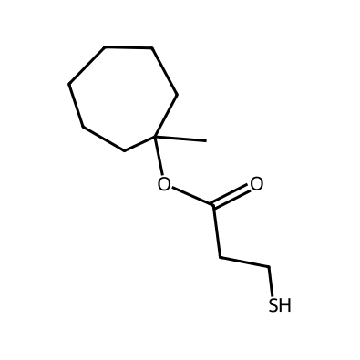 CC1(OC(=O)CCS)CCCCCC1